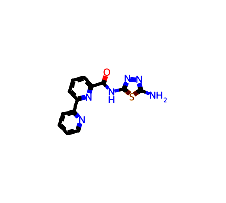 Nc1nnc(NC(=O)c2cccc(-c3ccccn3)n2)s1